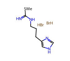 Br.Br.CSC(=N)NCCCc1c[nH]cn1